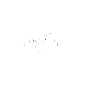 CC[Si](CC)(CC)OC1(C(F)(F)F)CN(C(=O)OC(C)(C)C)CC1O